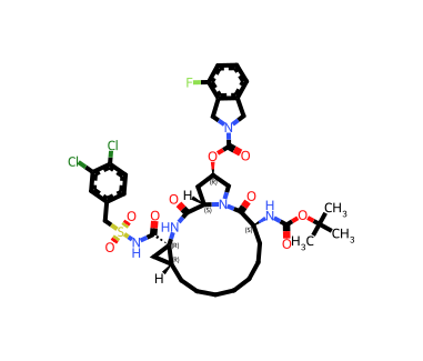 CC(C)(C)OC(=O)N[C@H]1CCCCCCC[C@@H]2C[C@@]2(C(=O)NS(=O)(=O)Cc2ccc(Cl)c(Cl)c2)NC(=O)[C@@H]2C[C@@H](OC(=O)N3Cc4cccc(F)c4C3)CN2C1=O